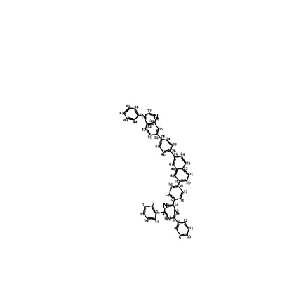 c1ccc(-c2nc(-c3ccccc3)nc(-c3ccc(-c4ccc5ccc(-c6ccc(-c7ccc8c(c7)ncn8-c7ccccc7)cc6)cc5c4)cc3)n2)cc1